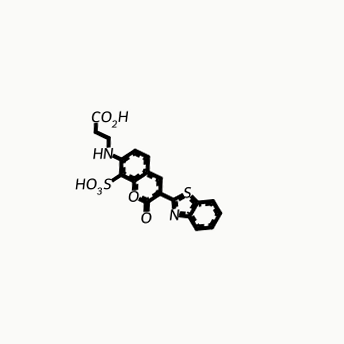 O=C(O)CCNc1ccc2cc(-c3nc4ccccc4s3)c(=O)oc2c1S(=O)(=O)O